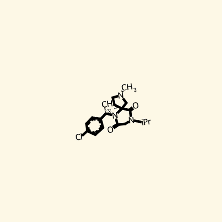 CC(C)N1CC(=O)N([C@@H](C)c2ccc(Cl)cc2)C2(CCN(C)C2)C1=O